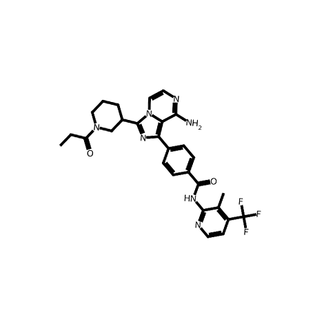 CCC(=O)N1CCCC(c2nc(-c3ccc(C(=O)Nc4nccc(C(F)(F)F)c4C)cc3)c3c(N)nccn23)C1